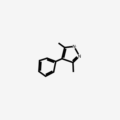 CC1=N[N]C(C)=C1c1ccccc1